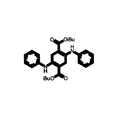 CC(C)COC(=O)C1=C(Nc2ccccc2)CC(C(=O)OCC(C)C)=C(Nc2ccccc2)C1